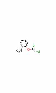 O=[N+]([O-])c1ccccc1OC(Cl)=CCl